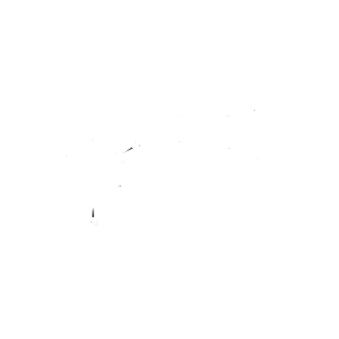 CCN[C@H]1CCC[C@@H](NCc2ccc3ncoc3c2)C1